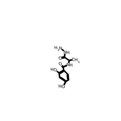 CC(NC(=O)c1ccc(O)cc1O)C(=O)NN